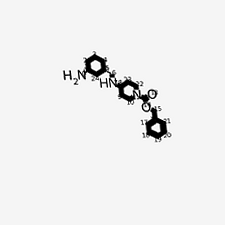 N[C@@H]1CCC[C@H](CNC2CCN(C(=O)OCc3ccccc3)CC2)C1